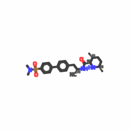 C[C@@H]1CC[C@H](C)N[C@@H]1C(=O)N[C@H](C#N)Cc1ccc(-c2ccc(S(=O)(=O)N(C)C)cc2)cc1